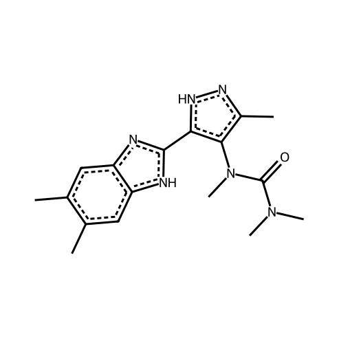 Cc1cc2nc(-c3[nH]nc(C)c3N(C)C(=O)N(C)C)[nH]c2cc1C